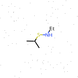 CCNSC(C)C